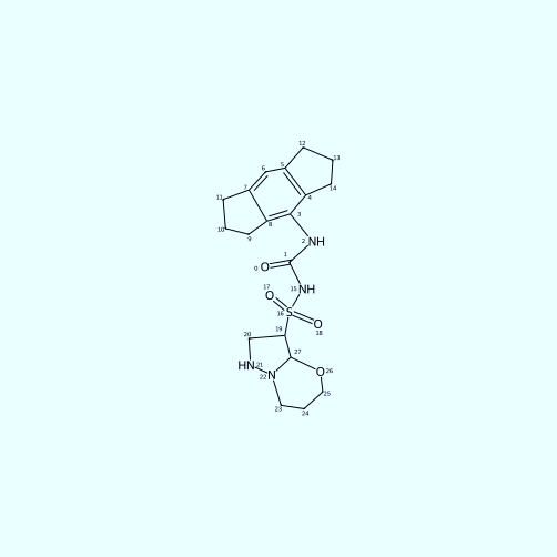 O=C(Nc1c2c(cc3c1CCC3)CCC2)NS(=O)(=O)C1CNN2CCCOC12